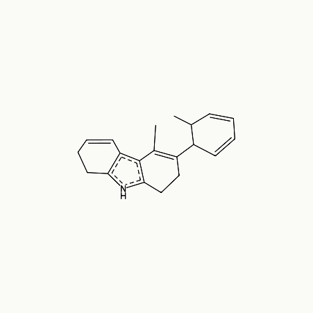 CC1=C(C2C=CC=CC2C)CCc2[nH]c3c(c21)C=CCC3